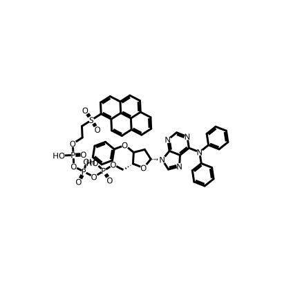 O=P(O)(OCCS(=O)(=O)c1ccc2ccc3cccc4ccc1c2c34)OP(=O)(O)OP(=O)(O)OC[C@H]1O[C@@H](n2cnc3c(N(c4ccccc4)c4ccccc4)ncnc32)CC1Oc1ccccc1